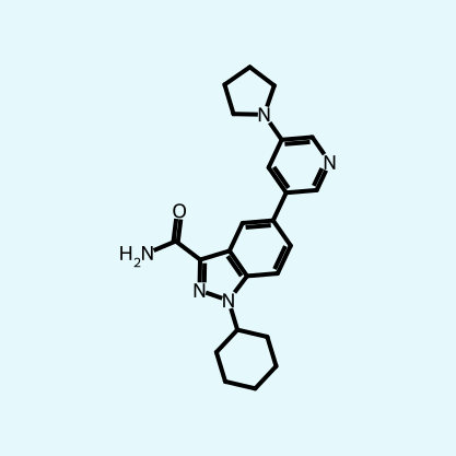 NC(=O)c1nn(C2CCCCC2)c2ccc(-c3cncc(N4CCCC4)c3)cc12